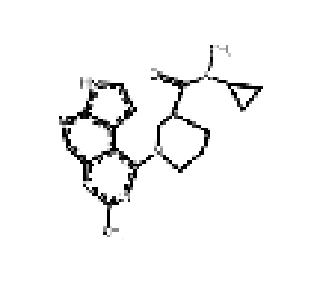 Cc1nc(N2CCCC(C(=O)N(C)C3CC3)C2)c2c(cnc3[nH]ccc32)n1